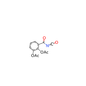 CC(=O)Oc1cccc(C(=O)N=C=O)c1OC(C)=O